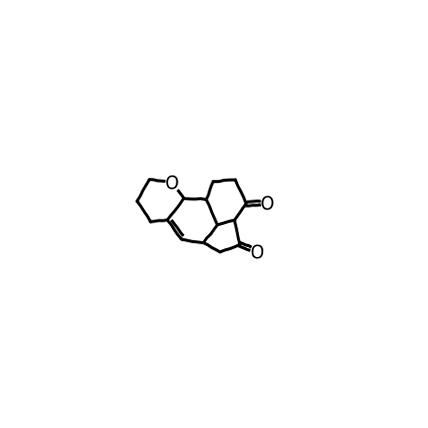 O=C1CCC2C3OCCCC3=CC3CC(=O)C1C32